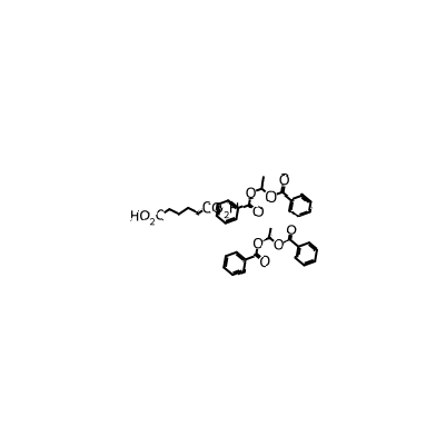 CC(OC(=O)c1ccccc1)OC(=O)c1ccccc1.CC(OC(=O)c1ccccc1)OC(=O)c1ccccc1.O=C(O)CCCCC(=O)O